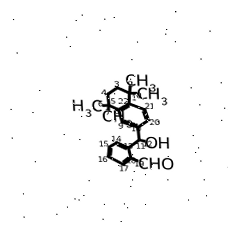 CC1(C)CCC(C)(C)c2cc(C(O)c3ccccc3C=O)ccc21